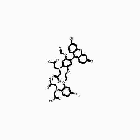 Cc1ccc(N(CC(=O)O)CC(=O)O)c(OCCOc2cc(-c3c4ccc(=O)cc-4oc4cc(O)ccc34)c(OC=O)cc2N(CC(=O)O)CC(=O)O)c1